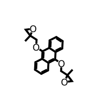 CC1(COc2c3ccccc3c(OCC3(C)CO3)c3ccccc23)CO1